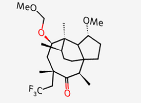 COCO[C@@H]1C[C@@](C)(CC(F)(F)F)C(=O)[C@H](C)C23CC[C@@H](C)[C@]1(C)C2[C@H](OC)CC3